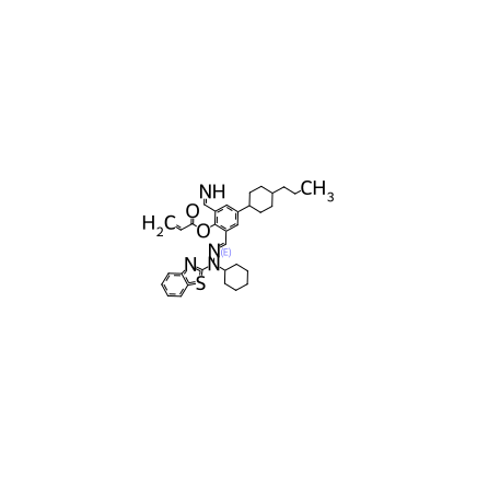 C=CC(=O)Oc1c(C=N)cc(C2CCC(CCC)CC2)cc1/C=N/N(c1nc2ccccc2s1)C1CCCCC1